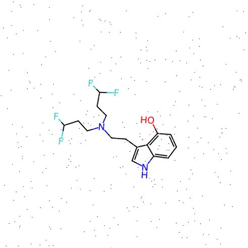 Oc1cccc2[nH]cc(CCN(CCC(F)F)CCC(F)F)c12